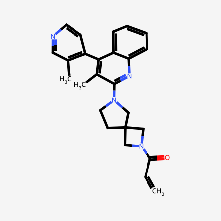 C=CC(=O)N1CC2(CCN(c3nc4ccccc4c(-c4ccncc4C)c3C)C2)C1